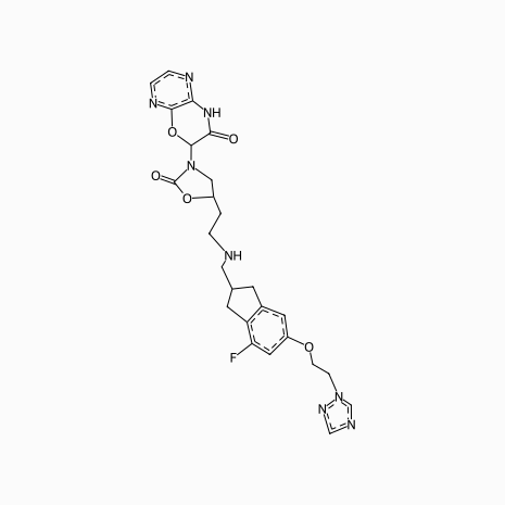 O=C1Nc2nccnc2OC1N1CC(CCNCC2Cc3cc(OCCn4cncn4)cc(F)c3C2)OC1=O